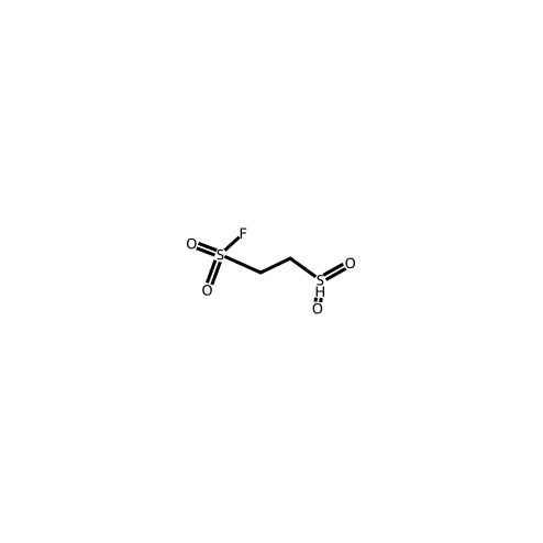 O=[SH](=O)CCS(=O)(=O)F